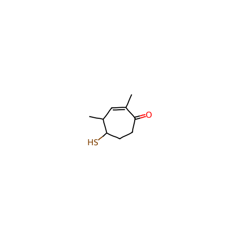 CC1=CC(C)C(S)CCC1=O